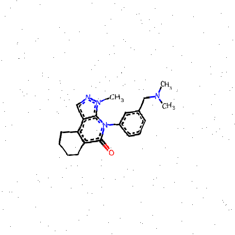 CN(C)Cc1cccc(-n2c(=O)c3c(c4cnn(C)c42)CCCC3)c1